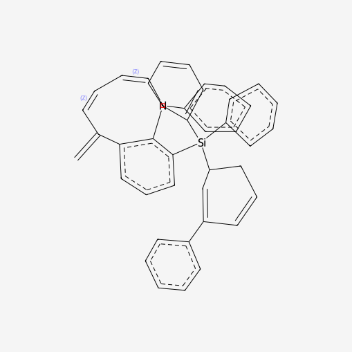 C=C1/C=C\C=C/N(c2ccccc2)c2c1cccc2[Si](C1=CC=CCC1)(c1ccccc1)C1C=C(c2ccccc2)C=CC1